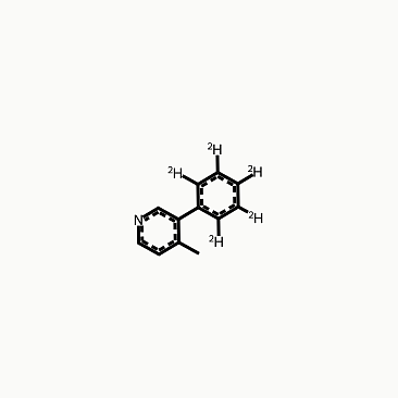 [2H]c1c([2H])c([2H])c(-c2cnccc2C)c([2H])c1[2H]